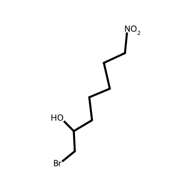 O=[N+]([O-])CCCCCC(O)CBr